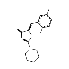 Cc1ccc(O)c(/C=C2\SC(N3CCCCC3)=NC2=O)c1